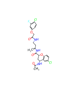 C=C(CCNC(=O)COc1ccc(Cl)c(F)c1)NC(=O)C1CC(NC(C)=O)c2cc(Cl)ccc2O1